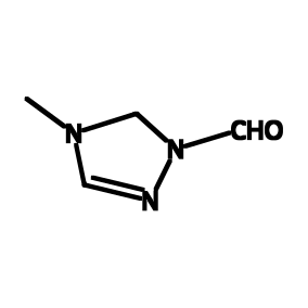 CN1C=NN(C=O)C1